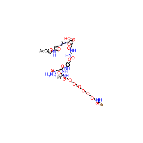 CC(=O)O[C@@H](C)/C=C\C(=O)N[C@@H]1C[C@H](C)[C@H](C/C=C(C)/C=C/[C@H]2O[C@H](CC(=O)NCCNC(=O)OCc3ccc(NC(=O)[C@H](CCCNC(N)=O)NC(=O)[C@@H](NC(=O)CCOCCOCCOCCOCCOCCOCCNC(=O)CBr)C(C)C)cc3)C[C@@]3(CO3)[C@@H]2O)O[C@@H]1C